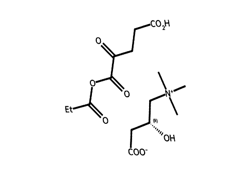 CCC(=O)OC(=O)C(=O)CCC(=O)O.C[N+](C)(C)C[C@H](O)CC(=O)[O-]